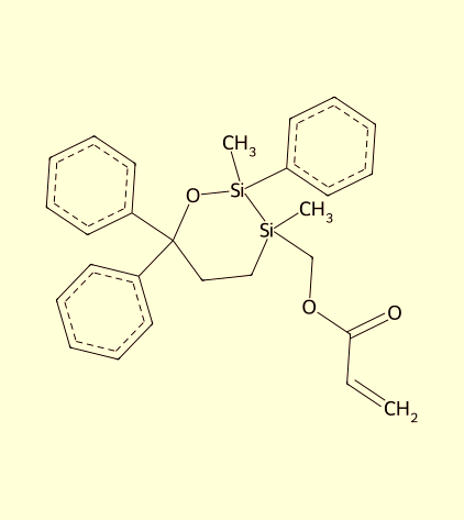 C=CC(=O)OC[Si]1(C)CCC(c2ccccc2)(c2ccccc2)O[Si]1(C)c1ccccc1